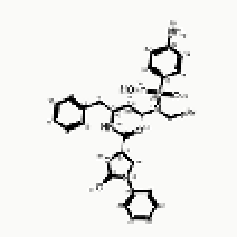 CC(C)CN(C[C@@H](O)[C@H](Cc1ccccc1)NC(=O)[C@H]1CN(c2ccccc2)C(=O)O1)S(=O)(=O)c1ccc(N)cc1